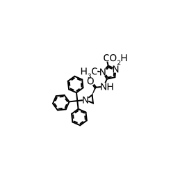 Cn1c(NC(=O)[C@H]2CN2C(c2ccccc2)(c2ccccc2)c2ccccc2)cnc1C(=O)O